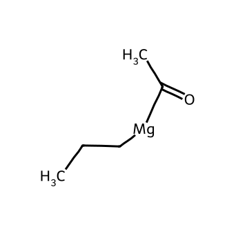 CC[CH2][Mg][C](C)=O